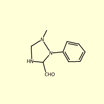 CN1CNC(C=O)N1c1ccccc1